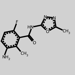 Cc1nnc(NC(=O)c2c(F)ccc(N)c2C)o1